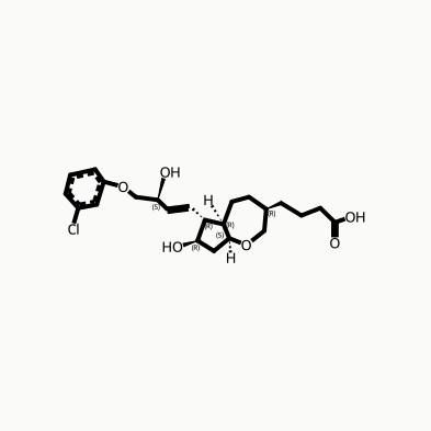 O=C(O)CCC[C@@H]1CC[C@@H]2[C@@H](C=C[C@H](O)COc3cccc(Cl)c3)[C@H](O)C[C@@H]2OC1